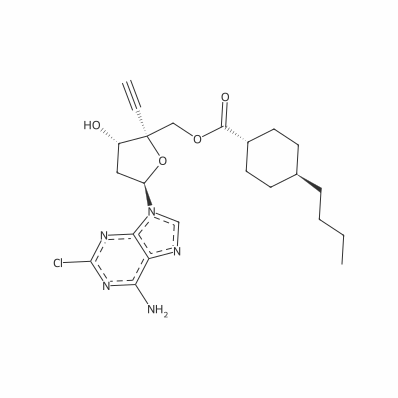 C#C[C@]1(COC(=O)[C@H]2CC[C@H](CCCC)CC2)O[C@@H](n2cnc3c(N)nc(Cl)nc32)C[C@@H]1O